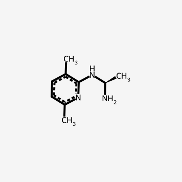 Cc1ccc(C)c(N[C@@H](C)N)n1